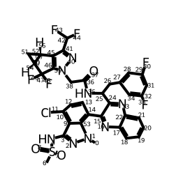 Cn1nc(NS(C)(=O)=O)c2c(Cl)ccc(-c3nc4ccccc4nc3C(Cc3cc(F)cc(F)c3)NC(=O)Cn3nc(C(F)F)c4c3C(F)(F)[C@@H]3C[C@H]43)c21